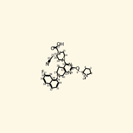 CN1CCC[C@H]1COc1nc2c(c(N3CCN(C(=O)O)[C@@H](CC#N)C3)n1)CCN(c1cccc3ccc(F)cc13)C2